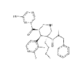 COCC[C@@]1(C(=O)N(C)Cc2ccccc2)CNC[C@H](C(=O)c2cccc(O)c2)[C@@H]1c1cccc(F)c1C